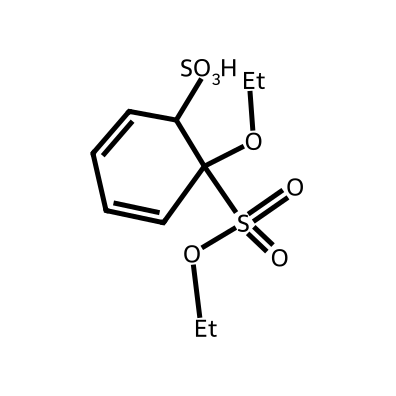 CCOC1(S(=O)(=O)OCC)C=CC=CC1S(=O)(=O)O